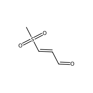 CS(=O)(=O)C=CC=O